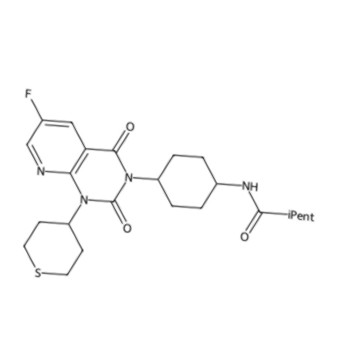 CCCC(C)C(=O)NC1CCC(n2c(=O)c3cc(F)cnc3n(C3CCSCC3)c2=O)CC1